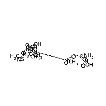 Cc1ncsc1-c1ccc(CNC(=O)[C@@H]2C[C@@H](O)CN2C(=O)[C@@H](NC(=O)CCCCCCCCCCCCCCCC(=O)N(C)Cc2ccc(CCOc3cc(-c4ccccc4O)nnc3N)cc2)C(C)(C)C)cc1